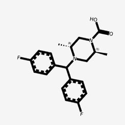 C[C@@H]1CN(C(=O)O)[C@@H](C)CN1C(c1ccc(F)cc1)c1ccc(F)cc1